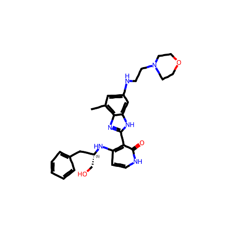 Cc1cc(NCCN2CCOCC2)cc2[nH]c(-c3c(N[C@H](CO)Cc4ccccc4)cc[nH]c3=O)nc12